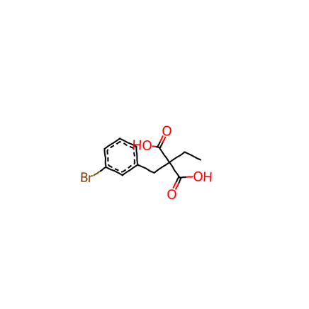 CCC(Cc1cccc(Br)c1)(C(=O)O)C(=O)O